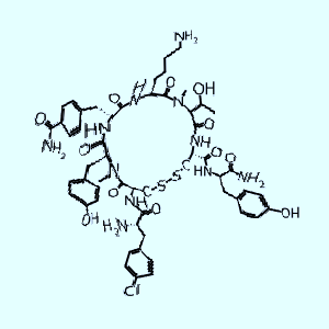 CC(O)C1C(=O)N[C@H](C(=O)N[C@H](Cc2ccc(O)cc2)C(N)=O)CSSC[C@@H](NC(=O)[C@@H](N)Cc2ccc(Cl)cc2)C(=O)N(C)[C@@H](Cc2ccc(O)cc2)C(=O)N[C@H](Cc2ccc(C(N)=O)cc2)C(=O)N[C@@H](CCCCN)C(=O)N1C